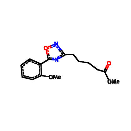 COC(=O)CCCCc1noc(-c2ccccc2OC)n1